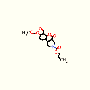 C=CCOC(=O)N1CCc2c(c(=O)oc3c(C=O)c(OCOC)ccc23)C1